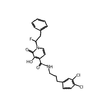 O=C(NCCCc1ccc(Cl)c(Cl)c1)c1ccn(C(F)Cc2ccccc2)c(=O)c1O